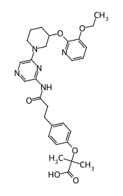 CCOc1cccnc1OC1CCCN(c2cncc(NC(=O)CCc3ccc(OC(C)(C)C(=O)O)cc3)n2)C1